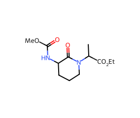 CCOC(=O)C(C)N1CCCC(NC(=O)OC)C1=O